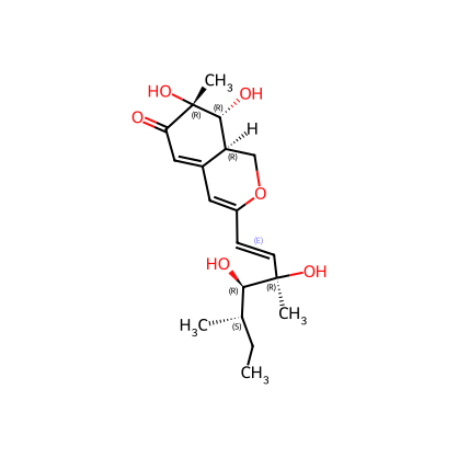 CC[C@H](C)[C@@H](O)[C@](C)(O)/C=C/C1=CC2=CC(=O)[C@](C)(O)[C@H](O)[C@H]2CO1